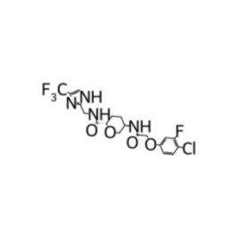 O=C(COc1ccc(Cl)c(F)c1)N[C@@H]1CC[C@@H](C(=O)NCc2nc(C(F)(F)F)c[nH]2)OC1